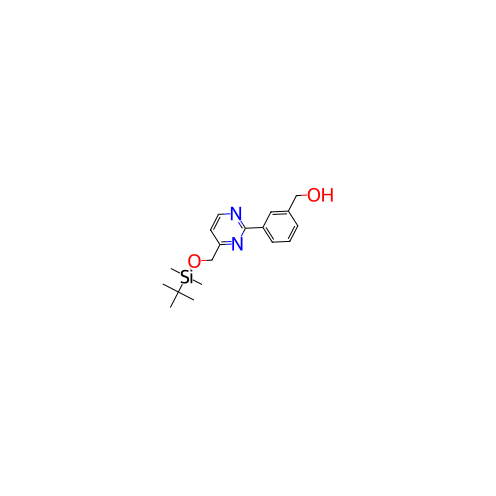 CC(C)(C)[Si](C)(C)OCc1ccnc(-c2cccc(CO)c2)n1